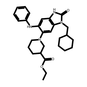 CCOC(=O)C1CCCN(c2cc3c(cc2Nc2ccccc2)[nH]c(=O)n3CC2CCCCC2)C1